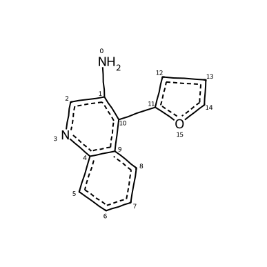 Nc1cnc2ccccc2c1-c1ccco1